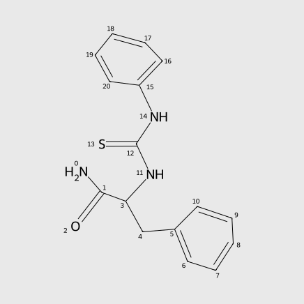 NC(=O)C(Cc1ccccc1)NC(=S)Nc1ccccc1